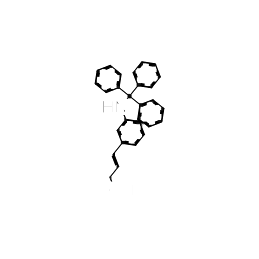 OCC=Cc1cccc(NC(c2ccccc2)(c2ccccc2)c2ccccc2)c1